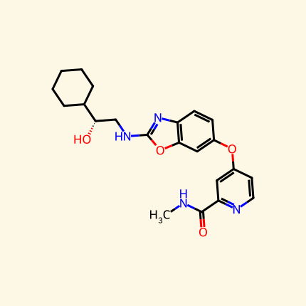 CNC(=O)c1cc(Oc2ccc3nc(NC[C@H](O)C4CCCCC4)oc3c2)ccn1